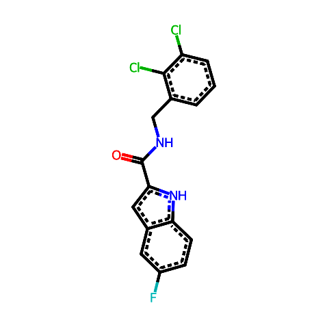 O=C(NCc1cccc(Cl)c1Cl)c1cc2cc(F)ccc2[nH]1